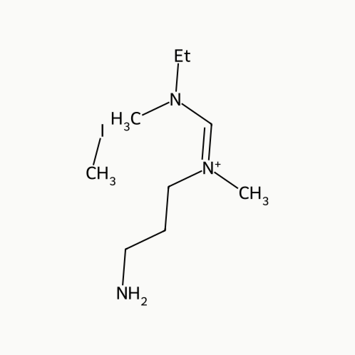 CCN(C)C=[N+](C)CCCN.CI